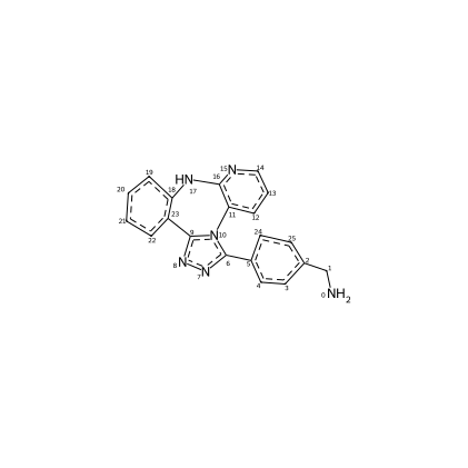 NCc1ccc(-c2nnc3n2-c2cccnc2Nc2ccccc2-3)cc1